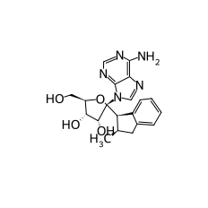 C[C@@H]1Cc2ccccc2[C@@H]1[C@@]1(n2cnc3c(N)ncnc32)O[C@H](CO)[C@@H](O)[C@H]1O